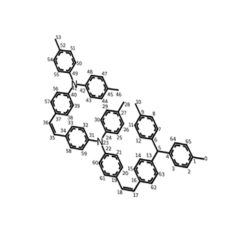 Cc1ccc(C(c2ccc(C)cc2)c2ccc(/C=C\c3ccc(N(c4ccc(C)cc4)c4ccc(/C=C\c5ccc(N(c6ccc(C)cc6)c6ccc(C)cc6)cc5)cc4)cc3)cc2)cc1